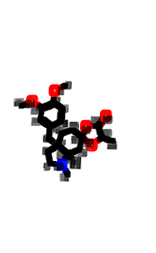 COc1ccc(C[C@]23CCN(C)[C@H]2CC2(CC3)OC(=O)C(C)O2)cc1OC